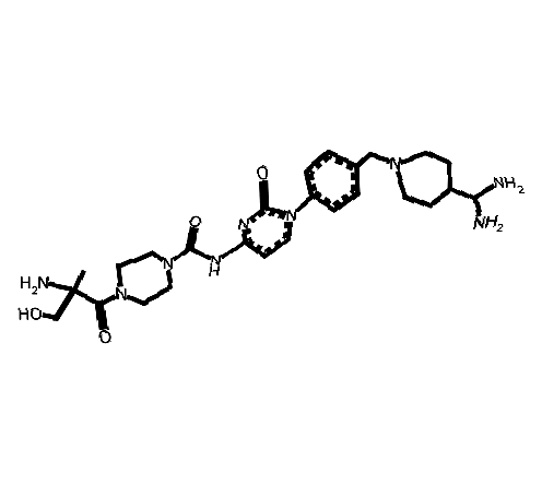 CC(N)(CO)C(=O)N1CCN(C(=O)Nc2ccn(-c3ccc(CN4CCC(C(N)N)CC4)cc3)c(=O)n2)CC1